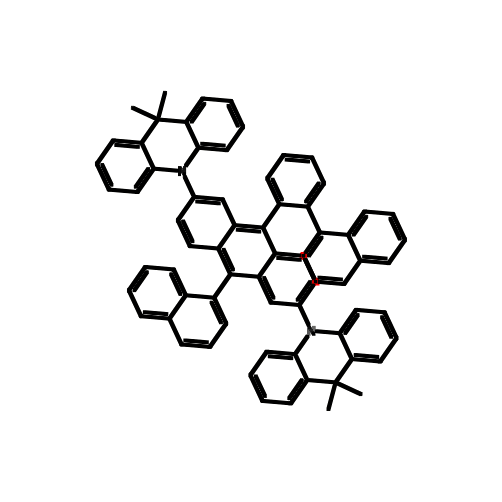 CC1(C)c2ccccc2N(c2ccc3c(-c4cccc5ccccc45)c4cc(N5c6ccccc6C(C)(C)c6ccccc65)ccc4c(-c4ccccc4-c4cccc5ccccc45)c3c2)c2ccccc21